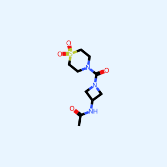 CC(=O)NC1CN(C(=O)N2CCS(=O)(=O)CC2)C1